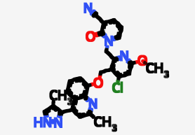 COc1cc(Cl)c(COc2cccc3c(-c4n[nH]cc4C)cc(C)nc23)c(Cn2cccc(C#N)c2=O)n1